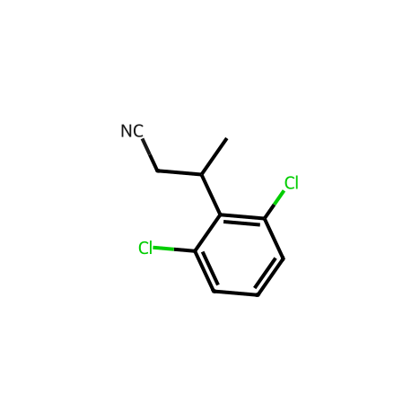 CC(CC#N)c1c(Cl)cccc1Cl